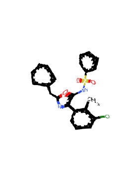 Cc1c(Cl)cccc1-c1nc(Cc2ccccc2)oc1NS(=O)(=O)c1ccccc1